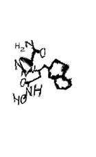 NC(=O)c1cnnn1C(CC(=O)NO)Cc1ccc2ccccc2c1